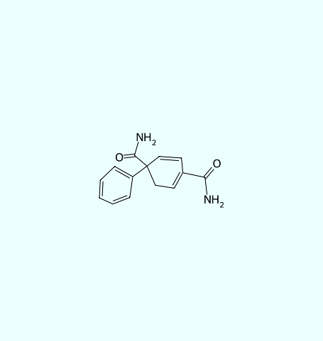 NC(=O)C1=CCC(C(N)=O)(c2ccccc2)C=C1